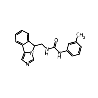 Cc1cccc(NC(=O)NCC2c3ccccc3-c3cncn32)c1